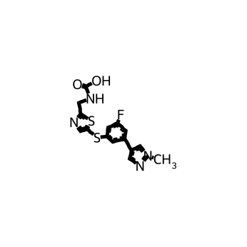 Cn1cc(-c2cc(F)cc(Sc3cnc(CNC(=O)O)s3)c2)cn1